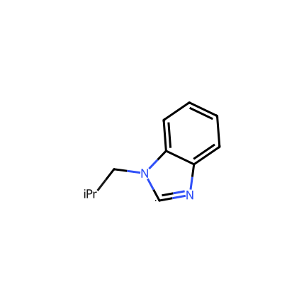 CC(C)Cn1[c]nc2ccccc21